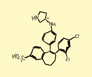 O=C(O)c1ccc2c(c1)CCCC(c1ccc(Cl)cc1Cl)=C2c1ccc(N[C@@H]2CCNC2)cc1